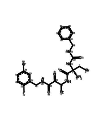 CCC(NC(=O)[C@@]([SiH3])(CC(C)C)NC(=O)NCc1ccccc1)C(=O)C(=O)NCc1cc(Br)ccc1F